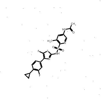 CC(=O)Nc1cnc(S(=O)(=O)Nc2nc(-c3ccc(C4CC4)c(F)c3)c(F)s2)c(C)c1